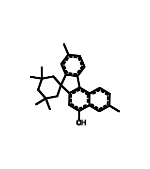 Cc1ccc2c(c1)C1(CC(C)(C)CC(C)(C)C1)c1cc(O)c3cc(C)ccc3c1-2